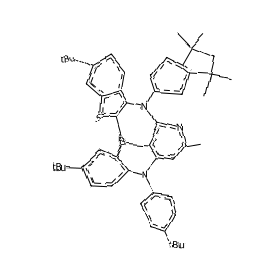 Cc1cc2c3c(n1)N(c1ccc4c(c1)C(C)(C)CC4(C)C)c1c(sc4cc(C(C)(C)C)ccc14)B3c1cc(C(C)(C)C)ccc1N2c1ccc(C(C)(C)C)cc1